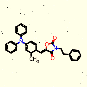 CC1C=C(N(c2ccccc2)c2ccccc2)C=CC1/C=C1\OC(=O)N(CCc2ccccc2)C1=O